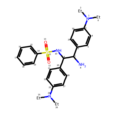 CCN(CC)c1ccc(C(N)C(NS(=O)(=O)c2ccccc2)c2ccc(N(CC)CC)cc2)cc1